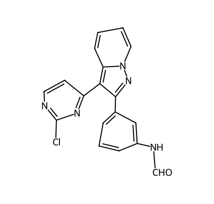 O=CNc1cccc(-c2nn3ccccc3c2-c2ccnc(Cl)n2)c1